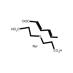 C/C=C/C=C/C(=O)[O-].O=C(O)CCSCCC(=O)O.[Na+]